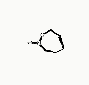 [2H]N1CCC=CCO1